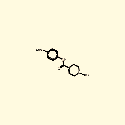 COc1ccc(NC(=O)N2CCN(C(C)(C)C)CC2)cc1